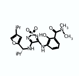 CC(C)c1coc([C@H](NC2=NS(=O)(=O)N=C2Nc2cccc(C(=O)N(C)C)c2O)C(C)C)c1